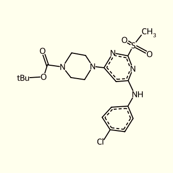 CC(C)(C)OC(=O)N1CCN(c2cc(Nc3ccc(Cl)cc3)nc(S(C)(=O)=O)n2)CC1